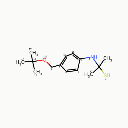 CC(C)(S)Nc1ccc(COC(C)(C)C)cc1